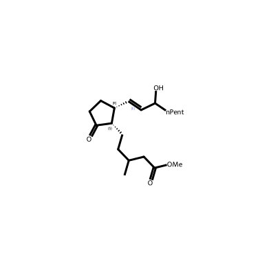 CCCCCC(O)/C=C/[C@H]1CCC(=O)[C@H]1CCC(C)CC(=O)OC